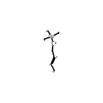 C/C=C/CC[Si](C)(C)C